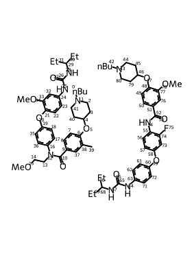 CCCCN1CCC(Oc2ccc(C(=O)N(CCOC)c3ccc(Oc4ccc(NC(=O)NC(CC)CC)cc4OC)cc3)cc2C)CC1.CCCCN1CCC(Oc2ccc(C(=O)Nc3ccc(Oc4ccc(NC(=O)NC(CC)CC)cc4)cc3F)cc2OC)CC1